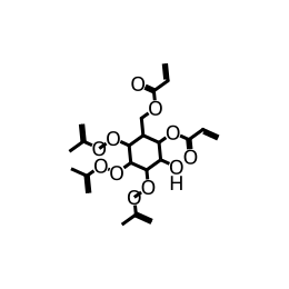 C=CC(=O)OCC1C(OC(=O)C=C)C(O)C(OOC(=C)C)C(OOC(=C)C)C1OOC(=C)C